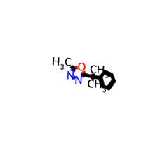 Cc1nnc(C(C)(C)c2ccccc2)o1